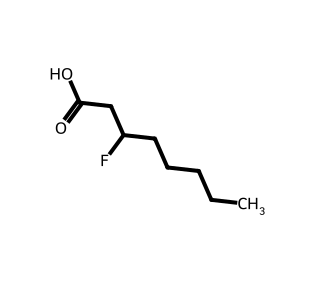 CCCCCC(F)CC(=O)O